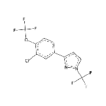 FC(F)(F)Oc1ccc(-c2ccn(C(F)(F)F)n2)cc1Cl